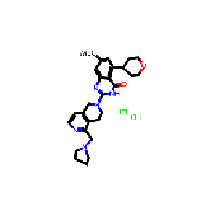 COc1cc(C2CCOCC2)c2c(=O)[nH]c(N3CCc4c(ccnc4CN4CCCC4)C3)nc2c1.Cl.Cl